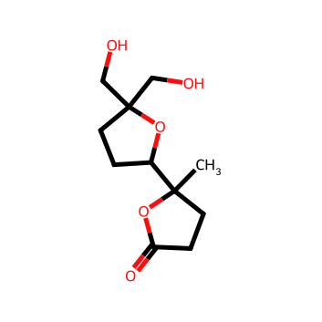 CC1(C2CCC(CO)(CO)O2)CCC(=O)O1